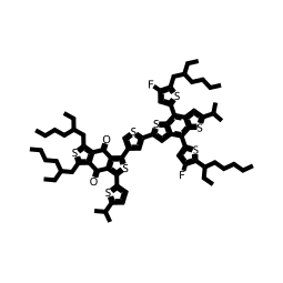 CCCCCC(CC)c1sc(-c2c3cc(-c4cc(-c5sc(-c6ccc(C(C)C)s6)c6c5C(=O)c5c(CC(CC)CCCC)sc(CC(CC)CCCC)c5C6=O)cs4)sc3c(-c3cc(F)c(CC(CC)CCCC)s3)c3cc(C(C)C)sc23)cc1F